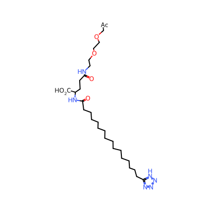 CC(=O)COCCOCCNC(=O)CCC(NC(=O)CCCCCCCCCCCCCCCc1nnn[nH]1)C(=O)O